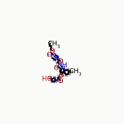 CCCCOC(=O)N1CCN(C(=O)CNC(=O)c2cc(OCC(=O)N3CCC(O)C3)c3ccc(C)cc3n2)CC1